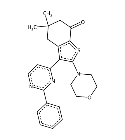 CC1(C)CC(=O)c2sc(N3CCOCC3)c(-c3ccnc(-c4ccccc4)n3)c2C1